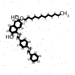 CCCCCCCCCCCCOC1(O)C=Cc2c(ccc(O)c2N=Nc2ccc(N=Nc3ccccc3)cc2)C1